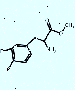 COC(=O)C(N)Cc1ccc(F)c(F)c1